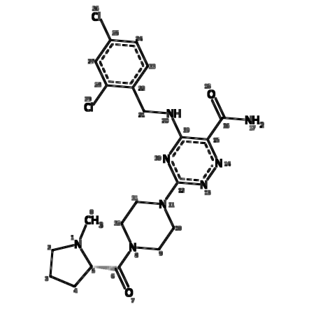 CN1CCC[C@H]1C(=O)N1CCN(c2nnc(C(N)=O)c(NCc3ccc(Cl)cc3Cl)n2)CC1